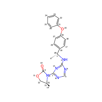 C[C@@H](Nc1ncnc(N2C(=O)OC[C@@H]2C)n1)c1ccc(Oc2ccccc2)cc1